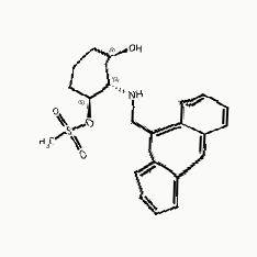 CS(=O)(=O)O[C@H]1CCC[C@@H](O)[C@@H]1NCc1c2ccccc2cc2ccccc12